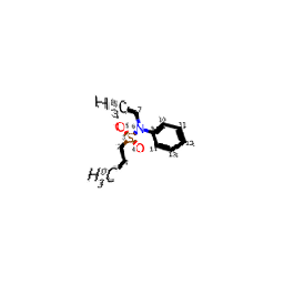 CCCS(=O)(=O)N(CC)c1c[c]ccc1